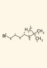 CC(C)(C)SCCCCBr